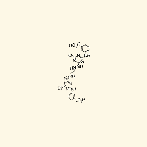 O=C(O)c1cccc(Nc2nc(Cl)nc(NNCCNNc3nc(Cl)nc(Nc4cccc(C(=O)O)c4)n3)n2)c1